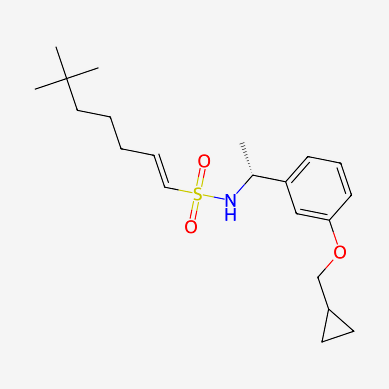 C[C@@H](NS(=O)(=O)/C=C/CCCC(C)(C)C)c1cccc(OCC2CC2)c1